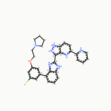 Fc1cc(OCCN2CCCC2)cc(-c2cccc3[nH]c(-c4n[nH]c5ccc(-c6ccccn6)nc45)nc23)c1